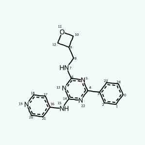 c1ccc(-c2nc(NCC3COC3)nc(Nc3ccncc3)n2)cc1